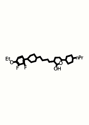 CCCC1CCC(C2CCC(CCCCC3CCC(c4ccc(OCC)c(F)c4F)CC3)C(O)O2)CC1